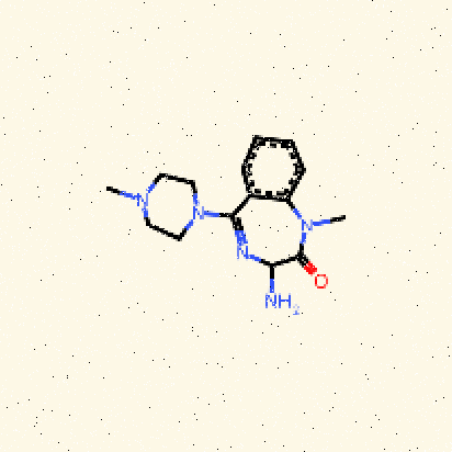 CN1CCN(C2=NC(N)C(=O)N(C)c3ccccc32)CC1